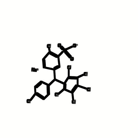 O=S(=O)([O-])c1cc(C(c2ccc(Cl)cc2)c2c(Cl)c(Cl)c(Cl)c(Cl)c2Cl)ccc1Cl.[Na+]